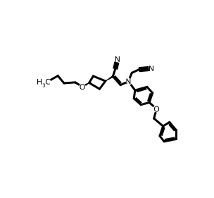 CCCCO[C@H]1C[C@@H](/C(C#N)=C/N(CC#N)c2ccc(OCc3ccccc3)cc2)C1